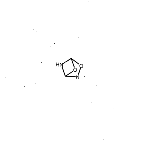 [N]1OC2NC1O2